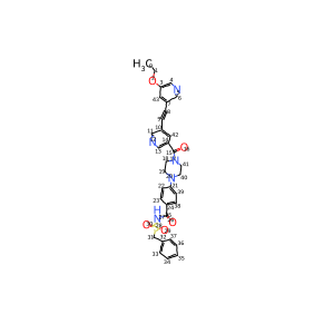 CCOc1cncc(C#Cc2cncc(C(=O)N3CCN(c4ccc(C(=O)NS(=O)(=O)Cc5ccccc5)cc4)CC3)c2)c1